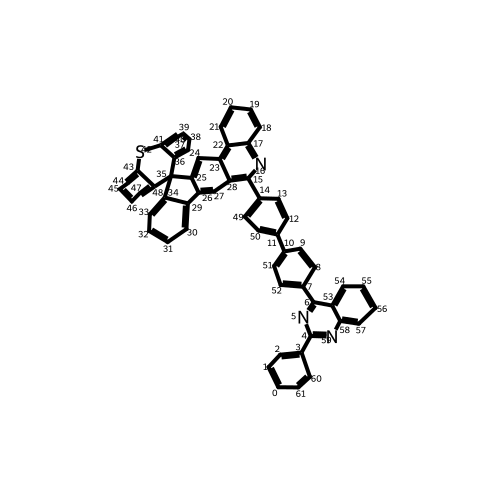 c1ccc(-c2nc(-c3ccc(-c4ccc(-c5nc6ccccc6c6cc7c(cc56)-c5ccccc5C75c6ccccc6Sc6ccccc65)cc4)cc3)c3ccccc3n2)cc1